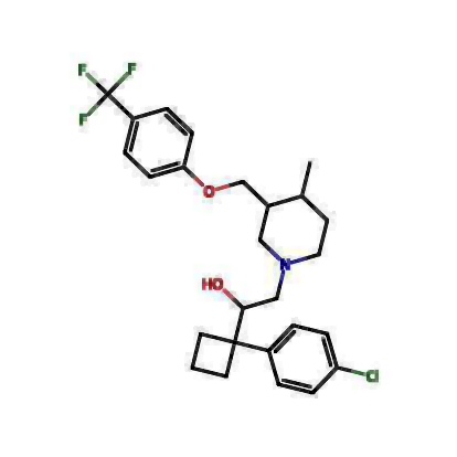 CC1CCN(CC(O)C2(c3ccc(Cl)cc3)CCC2)CC1COc1ccc(C(F)(F)F)cc1